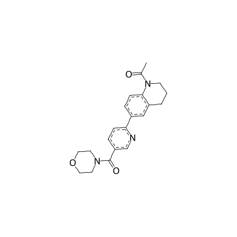 CC(=O)N1CCCc2cc(-c3ccc(C(=O)N4CCOCC4)cn3)ccc21